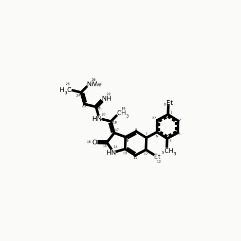 CCc1ccc(C)c(C2C=C3C(=CC2CC)NC(=O)/C3=C(/C)NC(=N)/C=C(/C)NC)c1